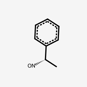 C[C@H](N=O)c1ccccc1